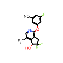 N#Cc1cc(F)cc(Oc2ncc(C(F)(F)F)c3c2CC(F)(F)[C@H]3O)c1